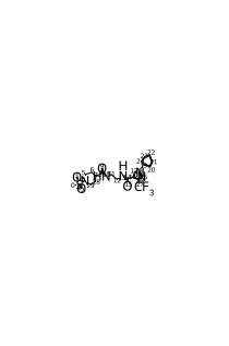 CS(=O)(=O)N1CCC(C(=O)NCCNC(=O)c2cn(-c3ccccc3)nc2C(F)(F)F)CC1